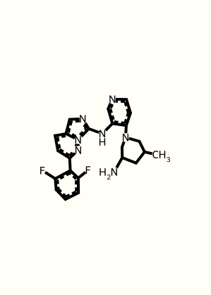 CC1CC(N)CN(c2ccncc2Nc2ncc3ccc(-c4c(F)cccc4F)nn23)C1